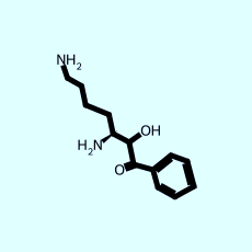 NCCCC[C@H](N)C(O)C(=O)c1ccccc1